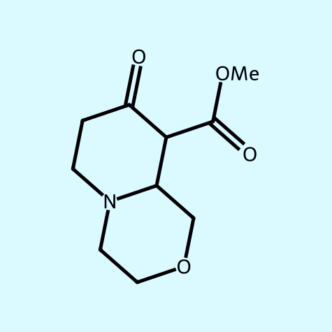 COC(=O)C1C(=O)CCN2CCOCC12